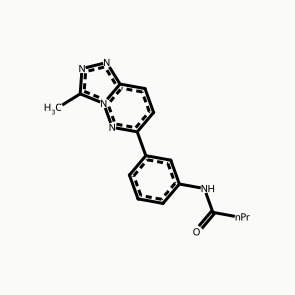 CCCC(=O)Nc1cccc(-c2ccc3nnc(C)n3n2)c1